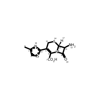 Cc1csc(C2=C(C(=O)O)N3C(=O)C(N)[C@H]3SC2)n1